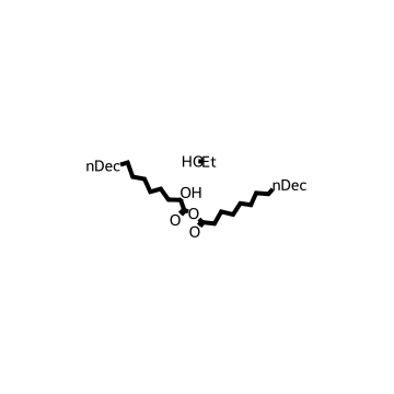 CCCCCCCCCCCCCCCCCC(=O)OC(=O)C(O)CCCCCCCCCCCCCCCC.CCO